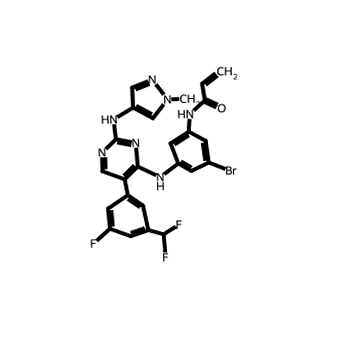 C=CC(=O)Nc1cc(Br)cc(Nc2nc(Nc3cnn(C)c3)ncc2-c2cc(F)cc(C(F)F)c2)c1